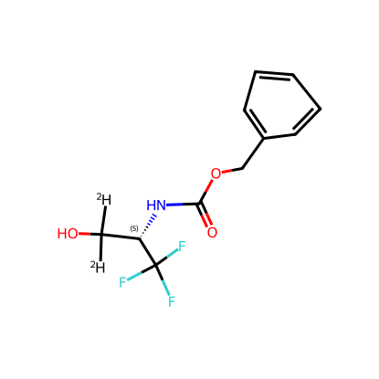 [2H]C([2H])(O)[C@H](NC(=O)OCc1ccccc1)C(F)(F)F